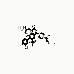 C=CC(=O)N1CCN(c2nc(=O)n3c4c(c(-c5ccc(F)c(Cl)c5)c(C(F)(F)F)cc24)SCC(N)C3)CC1